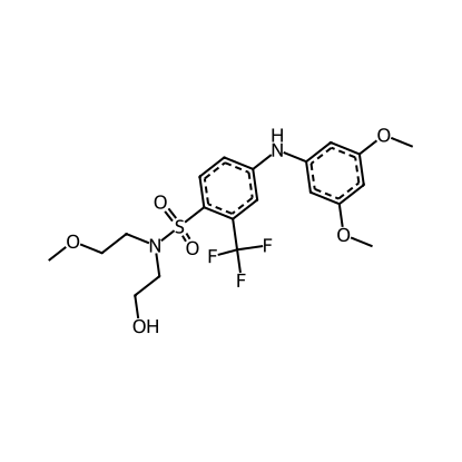 COCCN(CCO)S(=O)(=O)c1ccc(Nc2cc(OC)cc(OC)c2)cc1C(F)(F)F